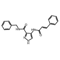 O=C(/C=C/c1ccccc1)Nc1c[nH]nc1C(=O)NCc1ccccc1